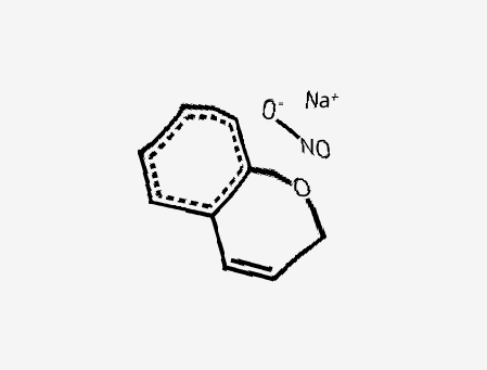 C1=Cc2ccccc2OC1.O=N[O-].[Na+]